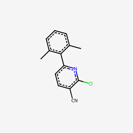 Cc1cccc(C)c1-c1ccc(C#N)c(Cl)n1